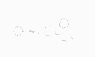 CN(C)c1ccc([C@H]2OC[C@@]3(C)C(CC[C@@]3(O)C#Cc3cc(F)cc(F)c3)C3CCC4=CC(=O)CCC4=C32)cc1